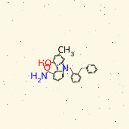 Cc1cc(O)c2c3c(C(N)=O)cccc3n(Cc3ccccc3Cc3ccccc3)c2c1